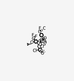 O=C(OC(Cc1c(Cl)c[n+]([O-])cc1Cl)c1ccc(OC(F)F)c(OCC2CC2)c1)C1SCCN1S(=O)(=O)c1ccc(OCC(F)(F)F)cc1